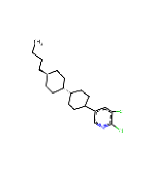 CCCC[C@H]1CC[C@H](C2CCC(c3cnc(Cl)c(Cl)c3)CC2)CC1